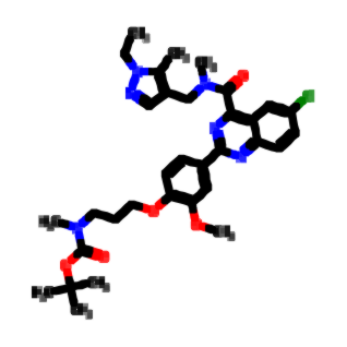 CCn1ncc(CN(C)C(=O)c2nc(-c3ccc(OCCCN(C)C(=O)OC(C)(C)C)c(OC)c3)nc3ccc(Cl)cc23)c1C